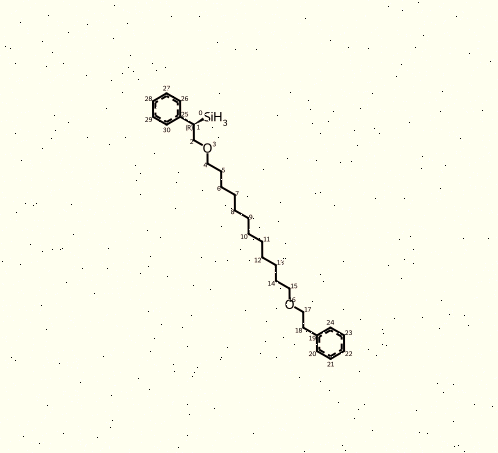 [SiH3][C@@H](COCCCCCCCCCCCCOCCc1ccccc1)c1ccccc1